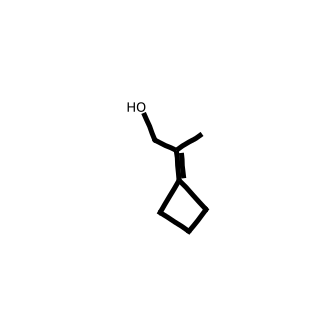 CC(CO)=C1CCC1